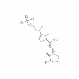 C=C1/C(=C\C=C(/CCCC)C2CC=C(C(C)C/C=C/C(CC)(CC)CC)C2C)CCCC1F